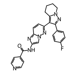 O=C(Nc1cn2nc(-c3c(-c4ccc(F)cc4)nn4c3CCCC4)ccc2n1)c1ccncc1